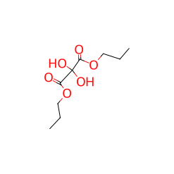 CCCOC(=O)C(O)(O)C(=O)OCCC